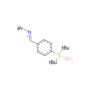 BS(c1ccc(/C=N/C(C)C)cc1)(C(C)(C)C)C(C)(C)C